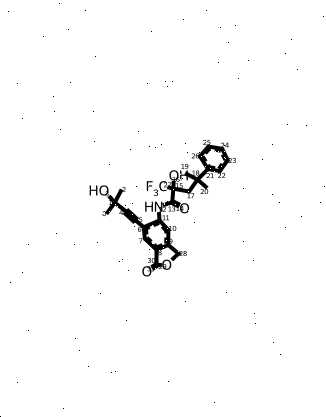 CC(C)(O)C#Cc1cc2c(cc1NC(=O)C(O)(CC(C)(C)c1ccccc1)C(F)(F)F)COC2=O